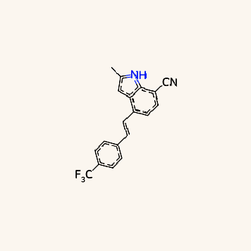 Cc1cc2c(/C=C/c3ccc(C(F)(F)F)cc3)ccc(C#N)c2[nH]1